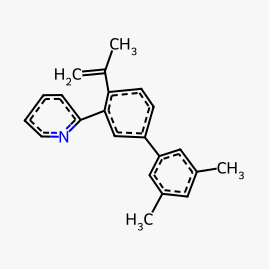 C=C(C)c1ccc(-c2cc(C)cc(C)c2)cc1-c1ccccn1